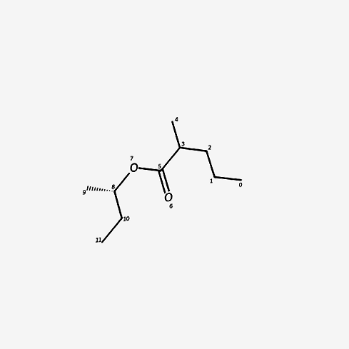 CCCC(C)C(=O)O[C@@H](C)CC